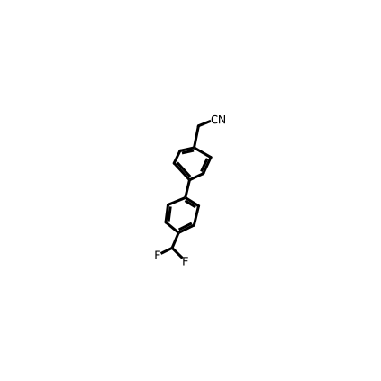 N#CCc1ccc(-c2ccc(C(F)F)cc2)cc1